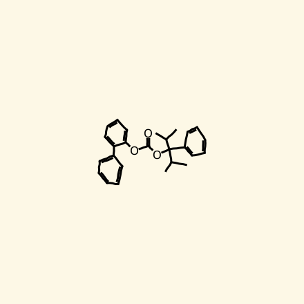 CC(C)C(OC(=O)Oc1ccccc1-c1ccccc1)(c1ccccc1)C(C)C